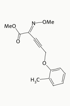 CO/N=C(\C#CCOc1ccccc1C)C(=O)OC